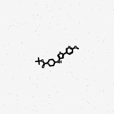 COc1ccc(-c2cc(NC3CCN(C(=O)OC(C)(C)C)CC3)cs2)cn1